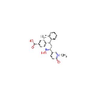 Cc1ccccc1C(CC(=NO)c1ccc(=O)n(C)c1)c1ccc(C(=O)O)cc1